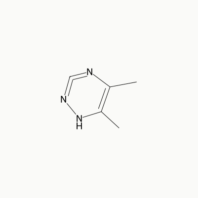 CC1=C(C)NN=C=N1